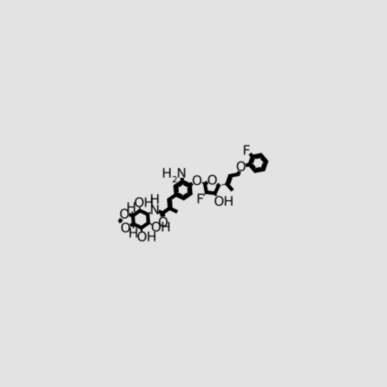 CC(=Cc1ccc(O[C@@H]2O[C@H](C(C)=CCOc3ccccc3F)[C@@H](O)[C@@H]2F)c(N)c1)C(=O)N[C@@H]1[C@H](O)[C@@H](O)[C@H]2OCO[C@H]2[C@@H]1O